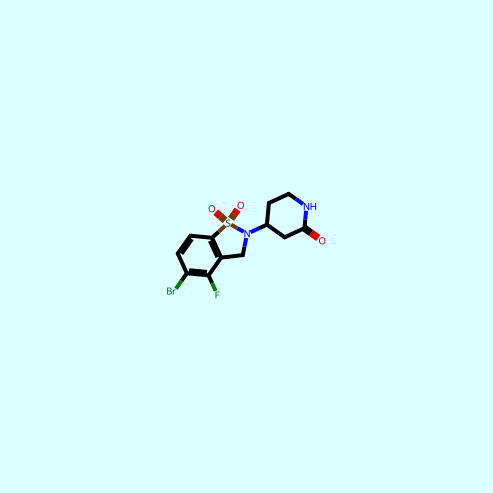 O=C1CC(N2Cc3c(ccc(Br)c3F)S2(=O)=O)CCN1